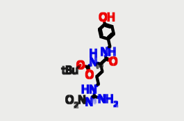 CC(C)(C)OC(=O)N[C@H](CCCN/C(N)=N\[N+](=O)[O-])C(=O)NCc1ccc(O)cc1